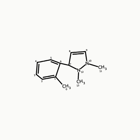 Cc1ccccc1C1C=CN(C)N1C